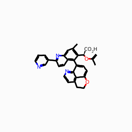 C=C(C)O[C@H](C(=O)O)c1c(C)cc2nc(-c3cccnc3)ccc2c1-c1ccc2c3c(ccnc13)CCO2